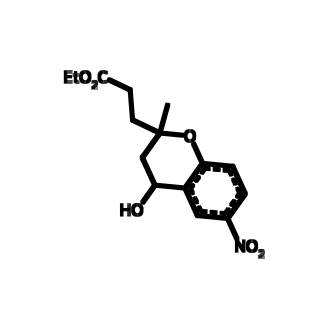 CCOC(=O)CCC1(C)CC(O)c2cc([N+](=O)[O-])ccc2O1